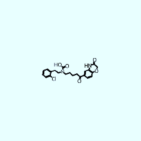 O=C1COc2ccc(C(=O)CCCCN(CCc3ccccc3Cl)C(=O)O)cc2N1